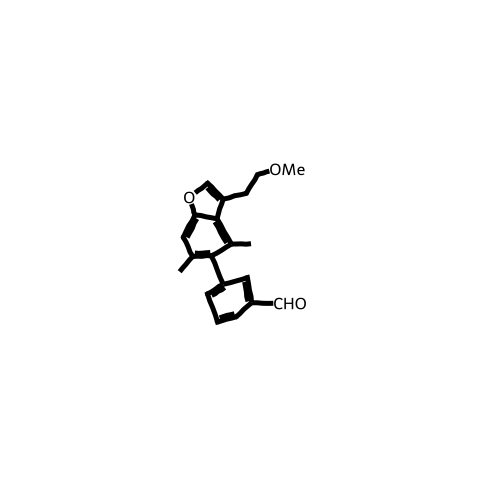 COCCc1coc2cc(C)c(-c3cccc(C=O)c3)c(C)c12